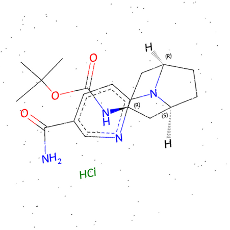 CC(C)(C)OC(=O)N[C@H]1C[C@H]2CC[C@@H](C1)N2c1ccc(C(N)=O)cn1.Cl